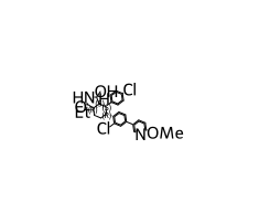 CC[C@@]12CC[C@@H](c3ccc(-c4ccc(OC)nc4)cc3Cl)[C@H](c3ccc(Cl)cc3)[C@@H]1C(O)NC2=O